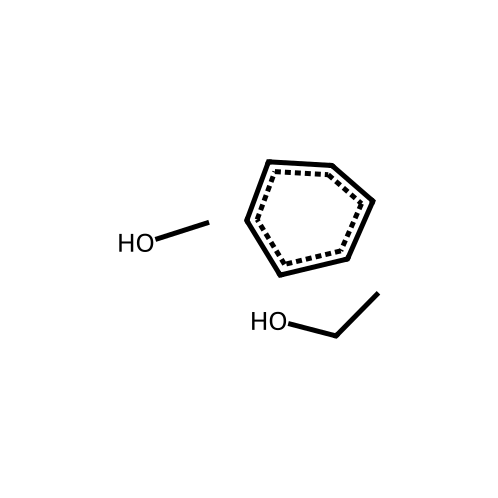 CCO.CO.c1ccccc1